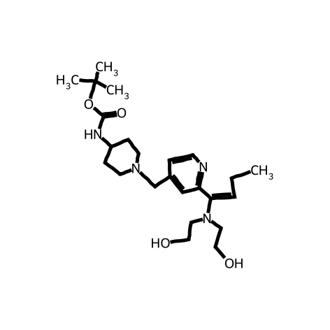 CC/C=C(\c1cc(CN2CCC(NC(=O)OC(C)(C)C)CC2)ccn1)N(CCO)CCO